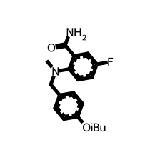 CC(C)COc1ccc(CN(C)c2ccc(F)cc2C(N)=O)cc1